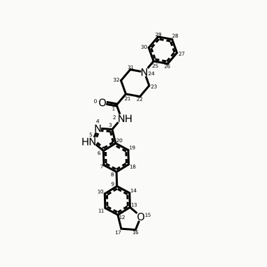 O=C(Nc1n[nH]c2cc(-c3ccc4c(c3)OCC4)ccc12)C1CCN(c2ccccc2)CC1